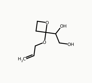 C=CCOC1(C(O)CO)CCO1